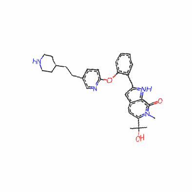 Cn1c(C(C)(C)O)cc2cc(-c3ccccc3Oc3ccc(CCC4CCNCC4)cn3)[nH]c2c1=O